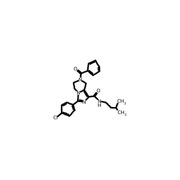 CC(C)CCNC(=O)c1nc(-c2ccc(Cl)cc2)n2c1CN(C(=O)c1ccccc1)CC2